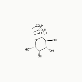 CC(=O)O.CC(=O)O.CC(=O)O.O[C@@H]1[C@@H](O)[C@H](O)OC[C@H]1O